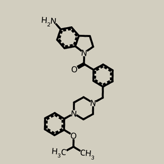 CC(C)Oc1ccccc1N1CCN(Cc2cccc(C(=O)N3CCc4cc(N)ccc43)c2)CC1